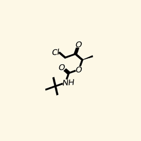 C[C@@H](OC(=O)NC(C)(C)C)C(=O)CCl